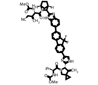 C=C(CC#N)[C@H](NC(=O)OC)C(=O)N1C(c2nc3ccc(-c4ccc5c(c4)C(F)(F)c4cc(-c6c[nH]c([C@@H]7C(=C)C8(CC8)CN7C(=O)[C@@H](NC(=O)OC)C(C)C)n6)ccc4-5)cc3[nH]2)[C@H]2CC[C@@H]1C2